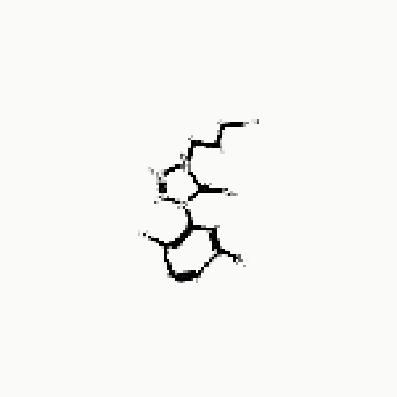 Nc1ccc(F)c(-n2nnn(CCCF)c2=O)c1